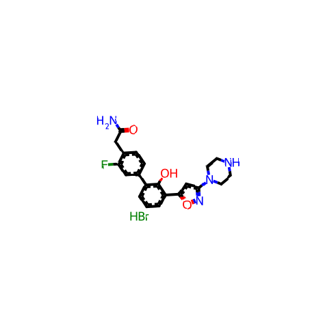 Br.NC(=O)Cc1ccc(-c2cccc(-c3cc(N4CCNCC4)no3)c2O)cc1F